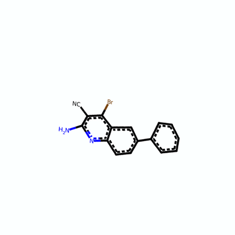 N#Cc1c(N)nc2ccc(-c3ccccc3)cc2c1Br